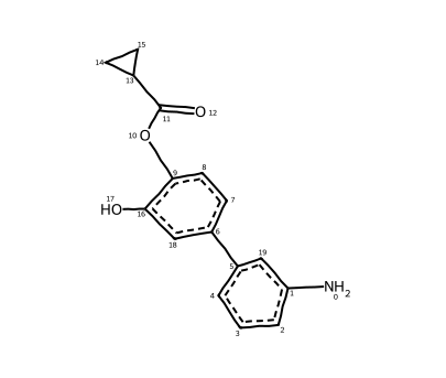 Nc1cccc(-c2ccc(OC(=O)C3CC3)c(O)c2)c1